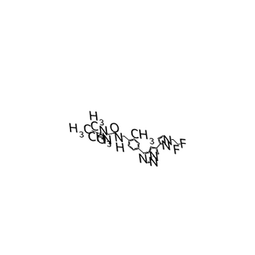 Cc1cc(-c2ncnn3cc(-c4ccn(CC(F)F)n4)cc23)ccc1CNC(=O)c1noc(C(C)(C)C)n1